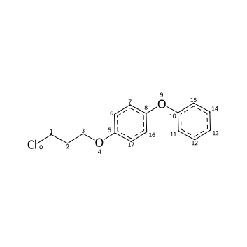 ClCCCOc1ccc(Oc2ccccc2)cc1